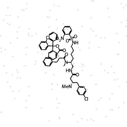 CN[C@H](CC(=O)NC[C@H](CCCCNS(=O)(=O)c1ccccc1[N+](=O)[O-])N(C)C(=O)[C@@H](CC(=O)OC(c1ccccc1)(c1ccccc1)c1ccccc1Cl)Cc1ccccc1)Cc1ccc(Cl)cc1